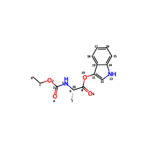 CCOC(=O)N[C@@H](C)C(=O)Oc1c[nH]c2ccccc12